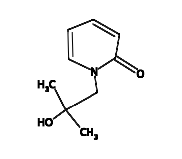 CC(C)(O)Cn1ccccc1=O